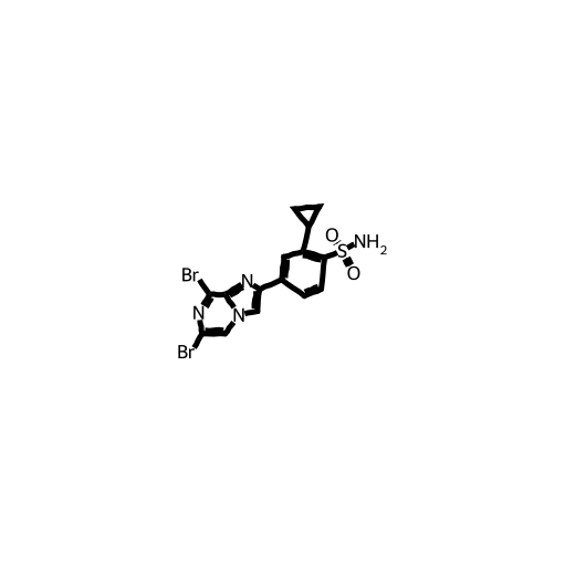 NS(=O)(=O)c1ccc(-c2cn3cc(Br)nc(Br)c3n2)cc1C1CC1